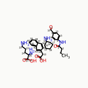 CCCC(=O)Nc1ccc(C=O)cc1.NC1CCCCC1.NCCCC(N)C(=O)O.O=C(O)Cc1ccc2ccccc2c1